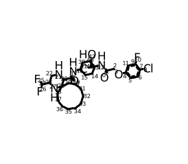 O=C(COc1ccc(Cl)c(F)c1)NC12CCC(NC(=O)C3NCC(C(F)F)NC34CCCCCCCCCC4)(CC1)CC2O